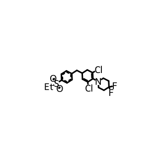 CCS(=O)(=O)c1ccc(CC2C=C(Cl)C(N3CCC(F)(F)CC3)=C(Cl)C2)cc1